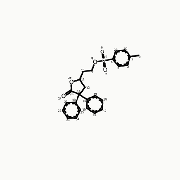 Cc1ccc(S(=O)(=O)OCCC2CC(c3ccccc3)(c3ccccc3)C(=O)O2)cc1